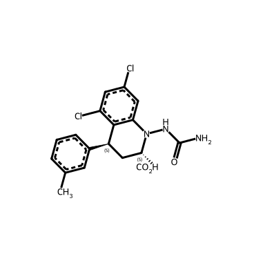 Cc1cccc([C@@H]2C[C@@H](C(=O)O)N(NC(N)=O)c3cc(Cl)cc(Cl)c32)c1